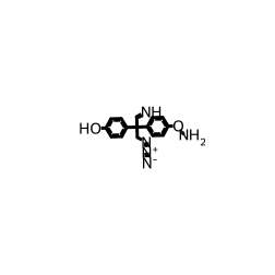 [N-]=[N+]=NCC(C=N)(c1ccc(O)cc1)c1ccc(ON)cc1